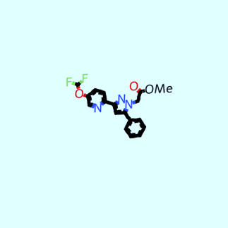 COC(=O)Cn1nc(-c2ccc(OC(F)F)cn2)cc1-c1ccccc1